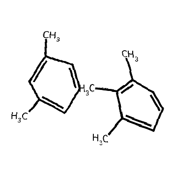 Cc1cccc(C)c1.Cc1cccc(C)c1C